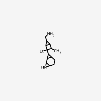 CCC1(C2C3CCC4NC4C32)C(C)C2C(CN)C21